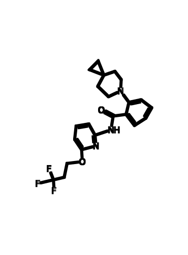 O=C(Nc1cccc(OCCC(F)(F)F)n1)c1ccccc1N1CCC2(CC1)CC2